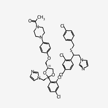 CC(=O)N1CCN(c2ccc(OC[C@H]3CO[C@](Cn4ccnc4)(c4ccc(Cl)cc4Cl)O3)cc2)CC1.Clc1ccc(CSC(Cn2ccnc2)c2ccc(Cl)cc2Cl)cc1